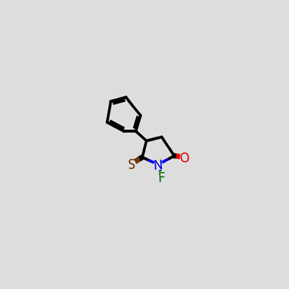 O=C1CC(c2ccccc2)C(=S)N1F